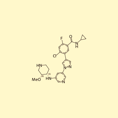 CO[C@@H]1CNCC[C@@H]1Nc1cncc(-n2cc(-c3cc(C(=O)NC4CC4)c(F)cc3Cl)cn2)c1